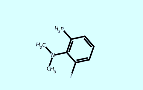 CN(C)c1c(P)cccc1I